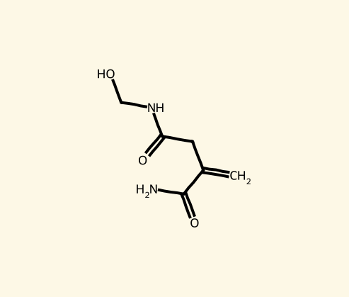 C=C(CC(=O)NCO)C(N)=O